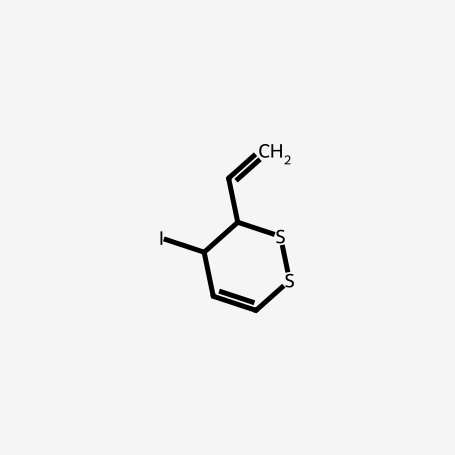 C=CC1SSC=CC1I